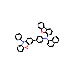 c1ccc(N2c3ccccc3Oc3cc(-c4ccc(N(c5cccc6ccccc56)c5cccc6c5oc5ccccc56)cc4)ccc32)cc1